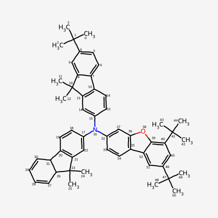 CC(C)(C)c1ccc2c(c1)C(C)(C)c1cc(N(c3ccc4c(c3)C(C)(C)C3C=CC=CC43)c3ccc4c(c3)oc3c(C(C)(C)C)cc(C(C)(C)C)cc34)ccc1-2